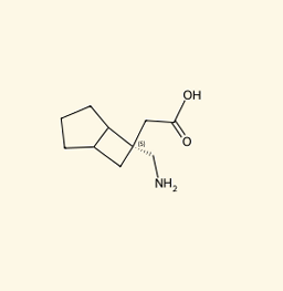 NC[C@]1(CC(=O)O)CC2CCCC21